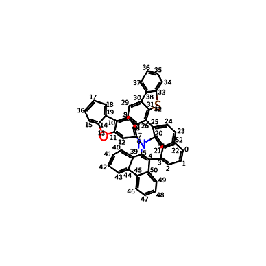 c1ccc(-c2c(N(c3ccc4c(c3)oc3ccccc34)c3ccccc3-c3cccc4c3sc3ccccc34)c3ccccc3c3ccccc23)cc1